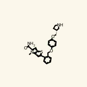 Cn1c(C(N)=O)cc2sc(-c3ccccc3COc3ccc(OC[C@@H]4CCNC4)cc3)cc21